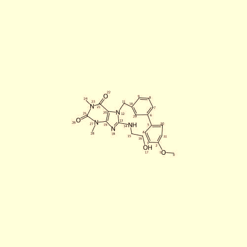 COc1ccc(-c2cccc(Cn3c(NCCO)nc4c3c(=O)n(C)c(=O)n4C)c2)cc1